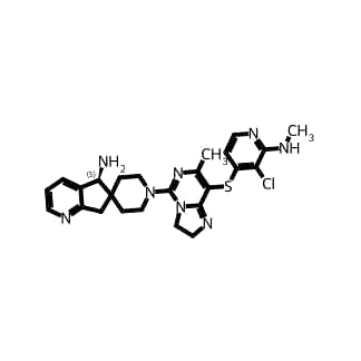 CNc1nccc(SC2=C(C)N=C(N3CCC4(CC3)Cc3ncccc3[C@H]4N)N3CCN=C23)c1Cl